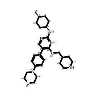 C[C@H]1CC[C@@H](Nc2ncc(-c3ccc(N4CCOCC4)cc3)c(OCC3CCNCC3)n2)CC1